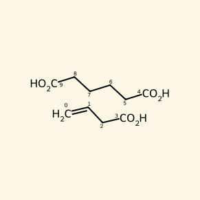 C=CCC(=O)O.O=C(O)CCCCC(=O)O